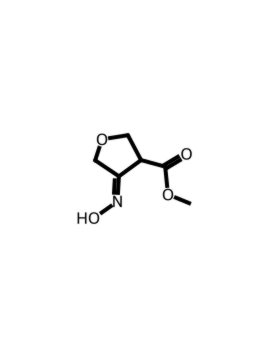 COC(=O)C1COCC1=NO